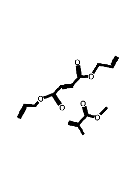 C=C(C)C(=O)OC.C=CCOC(=O)C=CC(=O)OCC=C